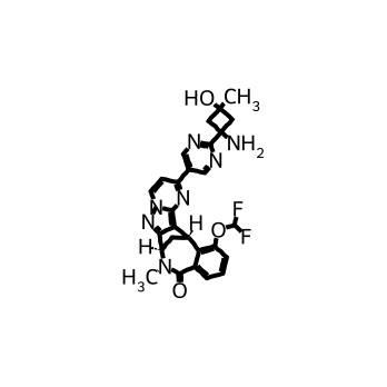 CN1C(=O)c2cccc(OC(F)F)c2[C@H]2C[C@@H]1c1nn3ccc(-c4cnc(C5(N)CC(C)(O)C5)nc4)nc3c12